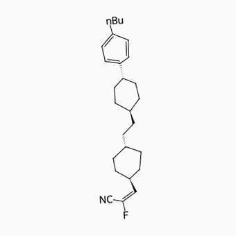 CCCCc1ccc([C@H]2CC[C@H](CC[C@H]3CC[C@H](/C=C(/F)C#N)CC3)CC2)cc1